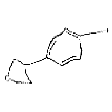 CCc1ccc(C2COC2)cc1